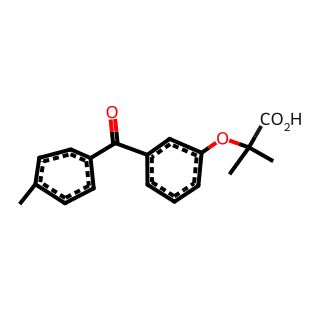 Cc1ccc(C(=O)c2cccc(OC(C)(C)C(=O)O)c2)cc1